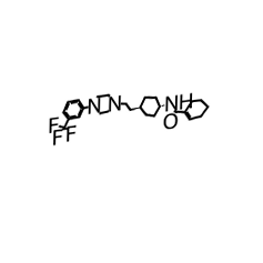 O=C(N[C@H]1CC[C@H](CCN2CCN(c3cccc(C(F)(F)F)c3)CC2)CC1)C1=CCCCC1